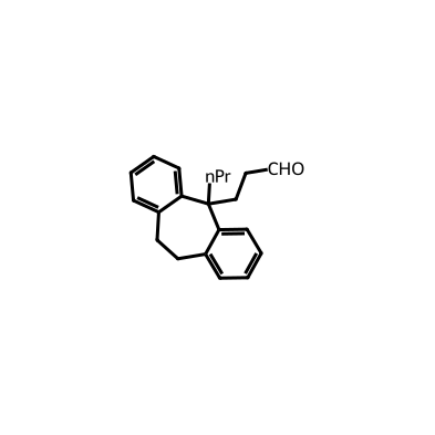 CCCC1(CCC=O)c2ccccc2CCc2ccccc21